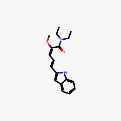 CCN(CC)C(=O)/C(=C\C=C\c1cc2ccccc2[nH]1)OC